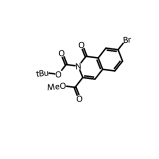 COC(=O)c1cc2ccc(Br)cc2c(=O)n1C(=O)OC(C)(C)C